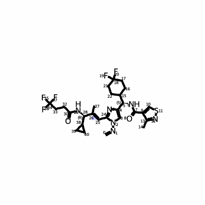 C=Nn1cc([C@@H](NC(=O)c2csnc2C)C2CCC(F)(F)CC2)nc1/C=C(\C)[C@H](NC(=O)CCC(F)(F)F)C1CC1